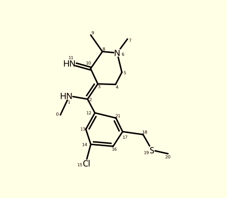 CN/C(=C1/CCN(C)C(C)C1=N)c1cc(Cl)cc(CSC)c1